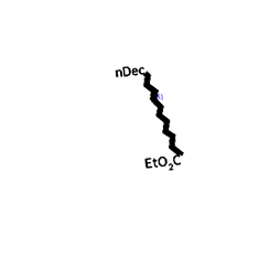 CCCCCCCCCCCC/C=C/CCCCCCCC(=O)OCC